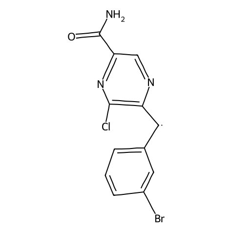 NC(=O)c1cnc([CH]c2cccc(Br)c2)c(Cl)n1